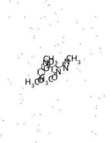 COc1ccc(CN(C)S(=O)(=O)c2cc(OC)nc(-c3cn(C)cn3)c2)cc1